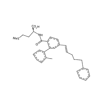 CSCC[C@H](NC(=O)c1ccc(C=CCCCc2ccccc2)cc1-c1ccccc1C)C(=O)O